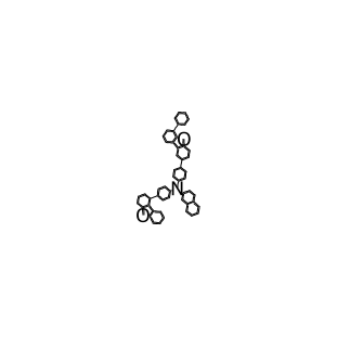 c1ccc(-c2cccc3c2oc2ccc(-c4ccc(N(c5ccc(-c6cccc7oc8ccccc8c67)cc5)c5ccc6ccccc6c5)cc4)cc23)cc1